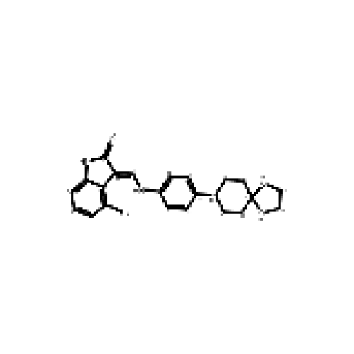 O=C1Nc2cccc(F)c2/C1=C\Nc1ccc(N2CCC3(CC2)OCCO3)cc1